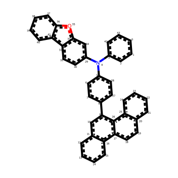 c1ccc(N(c2ccc(-c3cc4ccccc4c4ccc5ccccc5c34)cc2)c2ccc3c(c2)oc2ccccc23)cc1